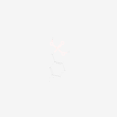 CCOP(=O)(Cc1cccc(C(C)C)c1)OCC